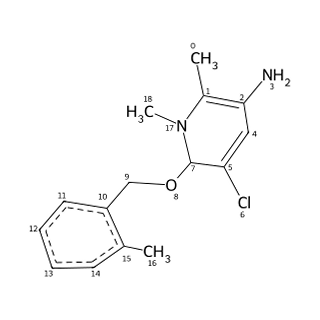 CC1=C(N)C=C(Cl)C(OCc2ccccc2C)N1C